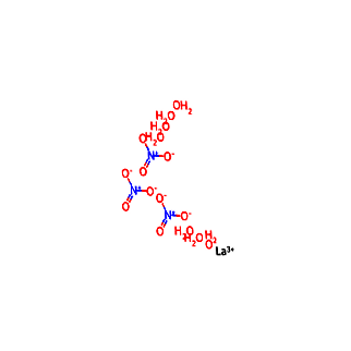 O.O.O.O.O.O.O.O=[N+]([O-])[O-].O=[N+]([O-])[O-].O=[N+]([O-])[O-].[La+3]